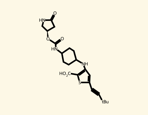 CC(C)(C)C#Cc1cc(NC2CCC(NC(=O)O[C@H]3CNC(=O)C3)CC2)c(C(=O)O)s1